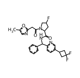 Cc1cnc(CC(=O)N2CC(F)CC2C(=O)NC(c2ccccc2)c2ccc(C3CC(F)(F)C3)cn2)o1